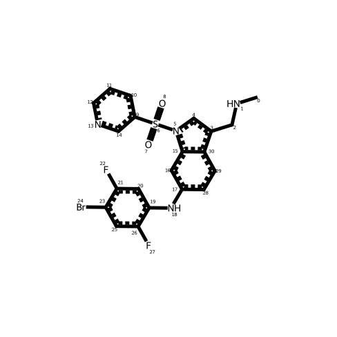 CNCc1cn(S(=O)(=O)c2cccnc2)c2cc(Nc3cc(F)c(Br)cc3F)ccc12